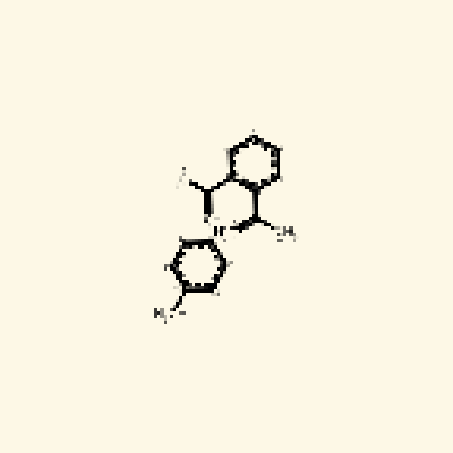 C=C(C)c1ccccc1C(=C)C.Cc1ccccc1